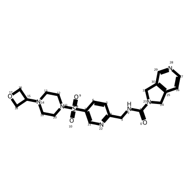 O=C(NCc1ccc(S(=O)(=O)N2CCN(C3COC3)CC2)cn1)N1Cc2ccncc2C1